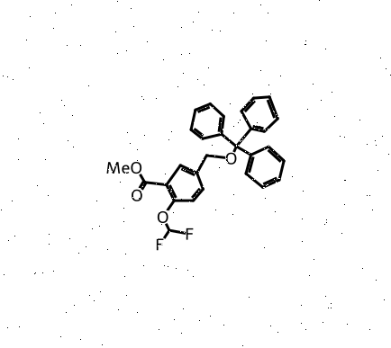 COC(=O)c1cc(COC(c2ccccc2)(c2ccccc2)c2ccccc2)ccc1OC(F)F